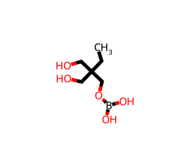 CCC(CO)(CO)COB(O)O